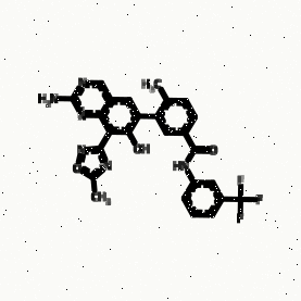 Cc1nc(-c2c(O)c(-c3cc(C(=O)Nc4cccc(C(F)(F)F)c4)ccc3C)cc3cnc(N)nc23)no1